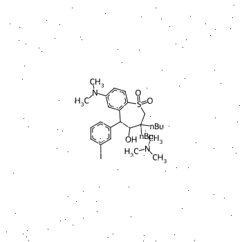 CCCCC1(CCCC)CS(=O)(=O)c2ccc(N(C)C)cc2C(c2cccc(I)c2)C1O.CN(C)C